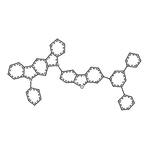 c1ccc(-c2cc(-c3ccccc3)cc(-c3ccc4c(c3)oc3ccc(-n5c6ccccc6c6cc7c8ccccc8n(-c8ccccc8)c7cc65)cc34)c2)cc1